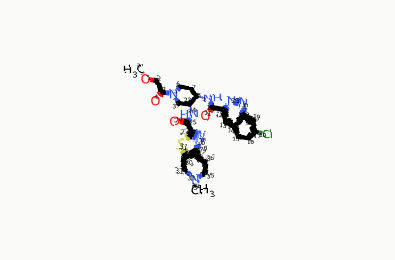 COCC(=O)N1CC[C@H](NC(=O)c2cc3ccc(Cl)cc3nn2)[C@H](NC(=O)c2nc3c(s2)CN(C)CC3)C1